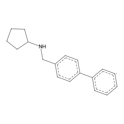 [c]1cccc(-c2ccc(CNC3CCCC3)cc2)c1